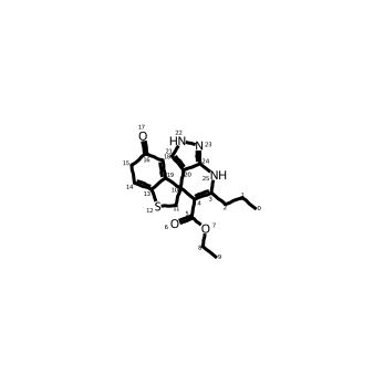 CCCC1=C(C(=O)OCC)C2(CSC3=CCC(=O)C=C32)c2c[nH]nc2N1